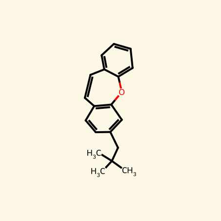 CC(C)(C)Cc1ccc2c(c1)Oc1ccccc1C=C2